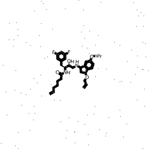 C=CCCCCC(=O)N[C@@H](Cc1cc(F)cc(F)c1)[C@H](O)CNC1CC(OCC=C)c2ccc(OCCC)cc21